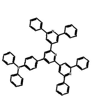 c1ccc(-c2cc(-c3cc(-c4ccc(N(c5ccccc5)c5ccccc5)cc4)cc(-c4cc(-c5ccccc5)nc(-c5ccccc5)c4)n3)cc(-c3ccccc3)n2)cc1